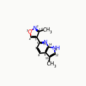 Cc1nocc1-c1ccc2c(C)c[nH]c2n1